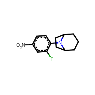 O=[N+]([O-])c1ccc(N2C3CCCC2CC3)c(F)c1